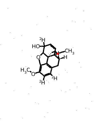 [2H]c1c([2H])c(OC)c2c3c1C[C@@H]1[C@@H]4C=CC([2H])(O)C(O2)[C@]34CCN1C